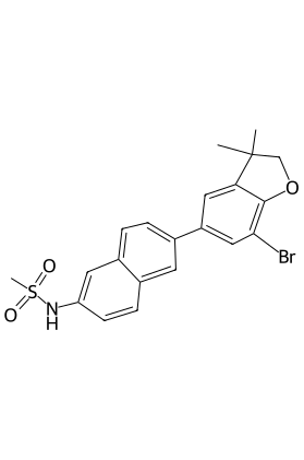 CC1(C)COc2c(Br)cc(-c3ccc4cc(NS(C)(=O)=O)ccc4c3)cc21